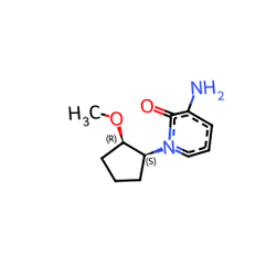 CO[C@@H]1CCC[C@@H]1n1cccc(N)c1=O